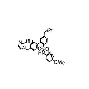 COc1ccc(NS(=O)(=O)c2ccc(CC(C)C)cc2-c2ccc(Cn3ccnc3C(C)(C)C)cc2)nn1